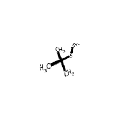 C[C](C)SC(C)(C)C